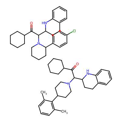 Cc1cccc(C)c1C1CCN(C(C(=O)C2CCCCC2)C2CCc3ccccc3N2)CC1.O=C(C1CCCCC1)C(C1CCc2ccccc2N1)N1CCCCC1c1ccc(Cl)cc1